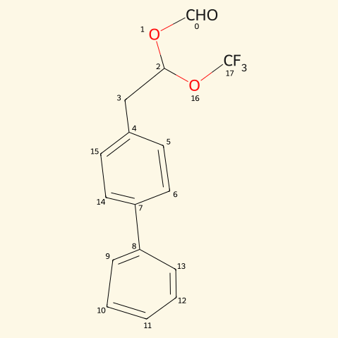 O=COC(Cc1ccc(-c2ccccc2)cc1)OC(F)(F)F